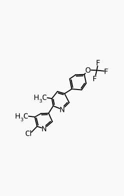 Cc1cc(-c2ncc(-c3ccc(OC(F)(F)F)cc3)cc2C)cnc1Cl